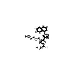 NC(=O)c1nc(-c2cn(-c3cccc4ccccc34)nn2)n(COCCO)n1